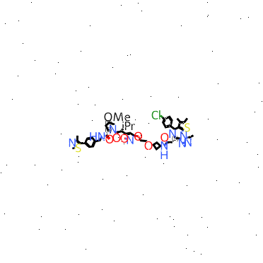 CO[C@@H]1C[C@@H](C(=O)NCc2ccc(-c3scnc3C)cc2)N(C(=O)C(c2cc(OCCO[C@H]3C[C@@H](NC(=O)C[C@@H]4N=C(c5ccc(Cl)cc5)c5c(sc(C)c5C)-n5c(C)nnc54)C3)no2)C(C)C)C1